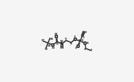 C#CP(=O)(OCC)OCCNC(=O)OC(C)(C)C